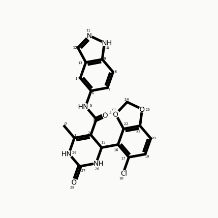 CC1=C(C(=O)Nc2ccc3[nH]ncc3c2)C(c2c(Cl)ccc3c2OCO3)NC(=O)N1